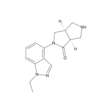 CCn1ncc2c(N3C[C@H]4CNC[C@H]4C3=O)cccc21